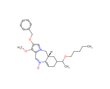 CCCCCOC(C)C1CC=C2[C@@H](C1)Cn1cc(OCc3ccccc3)c(OC)c1C=[N+]2[O-]